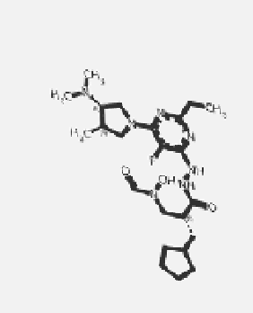 CCc1nc(NNC(=O)[C@H](CC2CCCC2)CN(O)C=O)c(F)c(N2C[C@@H](C)[C@@H](N(C)C)C2)n1